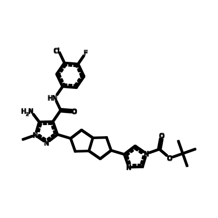 Cn1nc(C2CC3CC(c4cn(C(=O)OC(C)(C)C)cn4)CC3C2)c(C(=O)Nc2ccc(F)c(Cl)c2)c1N